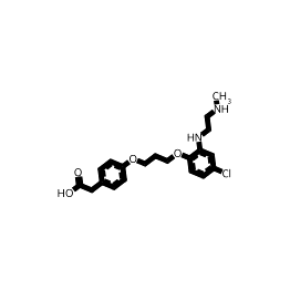 CNCCNc1cc(Cl)ccc1OCCCOc1ccc(CC(=O)O)cc1